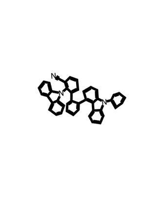 N#Cc1cccc(-c2ccccc2-c2cccc3c2c2ccccc2n3-c2ccccc2)c1-n1c2ccccc2c2ccccc21